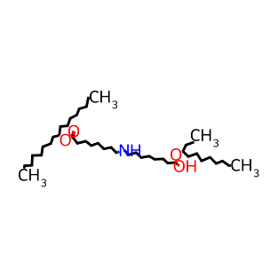 CCCCCCCCC(CCCCCCCC)OC(=O)CCCCCCCNCCCCCCCC(O)OC(CCC)CCCCCCCC